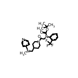 CN(CC1CCN(C(=O)CN(C(=O)OC(C)(C)C)c2ccccc2C(F)(F)F)CC1)c1ccncc1